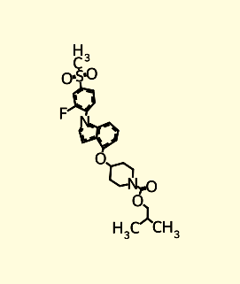 CC(C)COC(=O)N1CCC(Oc2cccc3c2ccn3-c2ccc(S(C)(=O)=O)cc2F)CC1